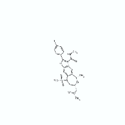 CNC(=O)c1c(-c2ccc(F)cc2)oc2cc3c(cc12)[C@H](C)O[C@H](C[S@+](C)[O-])CN3S(C)(=O)=O